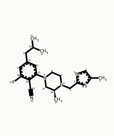 Cc1cnc(CN2CCN(c3cc(CC(C)C)cc(F)c3C#N)C[C@@H]2C)s1